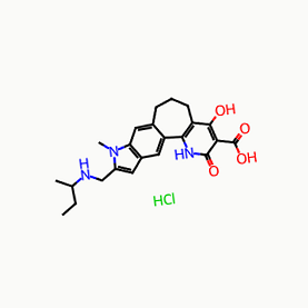 CCC(C)NCc1cc2cc3c(cc2n1C)CCCc1c-3[nH]c(=O)c(C(=O)O)c1O.Cl